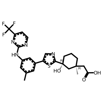 Cc1cc(Nc2nccc(C(F)(F)F)n2)cc(-c2cnc([C@@]3(O)CCC[C@@](C)(CC(=O)O)C3)s2)c1